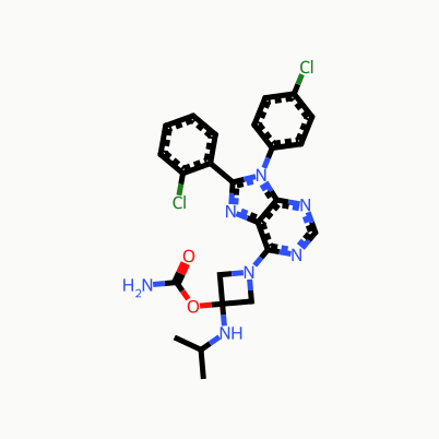 CC(C)NC1(OC(N)=O)CN(c2ncnc3c2nc(-c2ccccc2Cl)n3-c2ccc(Cl)cc2)C1